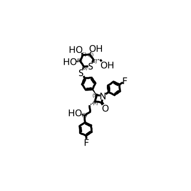 O=C1[C@H](CC[C@H](O)c2ccc(F)cc2)[C@@H](c2ccc(S[C@@H]3S[C@@H](CO)[C@@H](O)[C@H](O)[C@H]3O)cc2)N1c1ccc(F)cc1